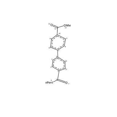 CCCCCC(=O)c1ccc(-c2ccc(C(=O)OC)cc2)cc1